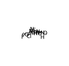 COCCNC[C@@H](O)Cn1cc2c(n1)CCc1c-2sc2ncnc(Nc3ccc(OCc4cccc(F)c4)c(Cl)c3)c12